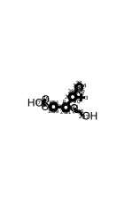 CC(C)(C)c1cc(-c2cc(-c3ccc(OC(=O)O)cc3)ccc2OCCCO)ccc1N1CCCC1